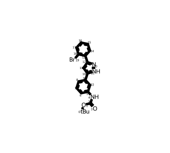 CC(C)(C)OC(=O)Nc1cccc(-c2cc(-c3ccccc3Br)n[nH]2)c1